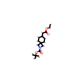 CCOC(=O)CC1CCC2(CC1)CN(C(=O)OC(C)(C)C)C2